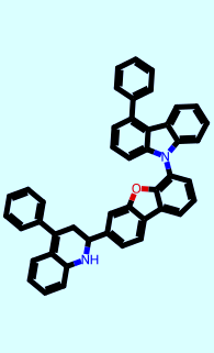 C1=CC2=C(c3ccccc3)CC(c3ccc4c(c3)oc3c(-n5c6ccccc6c6c(-c7ccccc7)cccc65)cccc34)NC2C=C1